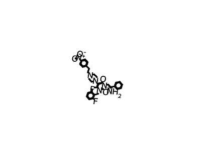 Cc1c(N2CCN(CCc3ccc([N+](=O)[O-])cc3)CC2)c(=O)n(C[C@H](N)c2ccccc2)c(=O)n1Cc1c(F)cccc1F